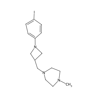 CN1CCN(CC2CN(c3ccc(I)cc3)C2)CC1